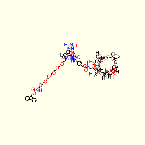 C=C1C[C@@H]2CC[C@@]34C[C@H]5OC6C(O[C@H]7CC[C@H](CC(=O)C[C@@H]8[C@@H](OC)[C@@H](C[C@H](O)CNC(=O)OCc9ccc(NC(=O)[C@H](CCCNC(N)=O)NC(=O)[C@@H](NC(=O)CCOCCOCCOCCOCCOCCOCCNC(=O)OCC%10c%11ccccc%11-c%11ccccc%11%10)C(C)C)cc9)O[C@H]8C[C@H]8O[C@@H](CCC1O2)C[C@@H](C)C8=C)O[C@@H]7[C@@H]6O3)[C@H]5O4